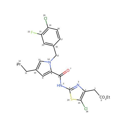 CCOC(=O)Cc1nc(NC(=O)c2cc(CC(C)C)cn2Cc2ccc(Cl)c(F)c2)sc1Cl